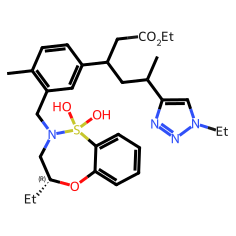 CCOC(=O)CC(CC(C)c1cn(CC)nn1)c1ccc(C)c(CN2C[C@@H](CC)Oc3ccccc3S2(O)O)c1